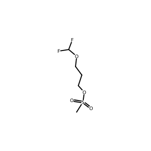 CS(=O)(=O)OCCCOC(F)F